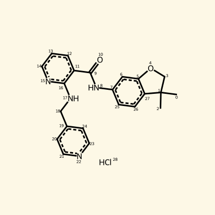 CC1(C)COc2cc(NC(=O)c3cccnc3NCc3ccncc3)ccc21.Cl